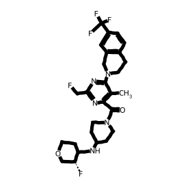 Cc1c(C(=O)N2CCC(NC3CCOC[C@H]3F)CC2)nc(CF)nc1N1CCc2ccc(C(F)(F)F)cc2C1